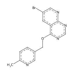 Cc1ccc(COc2ncnc3ncc(Br)cc23)cn1